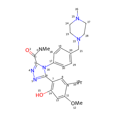 CNC(=O)c1nnc(-c2cc(C(C)C)c(OC)cc2O)n1-c1ccc(CN2CCN(C)CC2)cc1